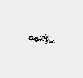 N#CCNC(=O)c1csc2cnc(Nc3ccc(N4CCOCC4)cc3)nc12